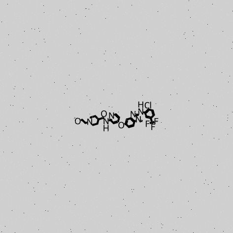 COCCN1CCC(C(=O)Nc2cc(Oc3ccc4c(c3)nc(Nc3cc(C(F)(F)F)ccc3Cl)n4C)ccn2)CC1